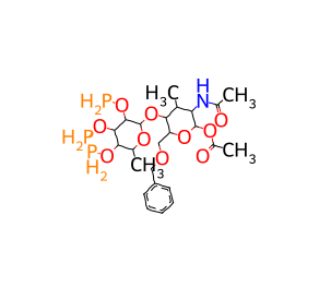 CC(=O)NC1C(OC(C)=O)OC(COCc2ccccc2)C(OC2OC(C)C(OP)C(OP)C2OP)C1C